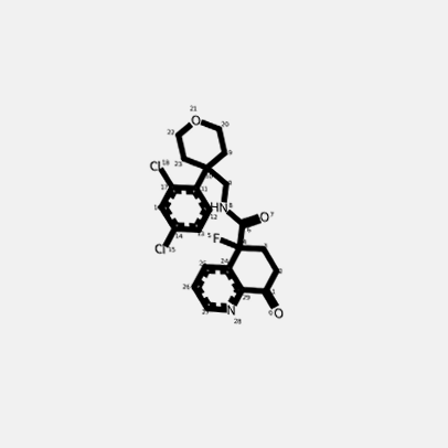 O=C1CCC(F)(C(=O)NCC2(c3ccc(Cl)cc3Cl)CCOCC2)c2cccnc21